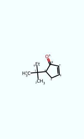 CCC(C)(C)C1CC=CC1=O